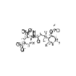 CC(=O)Oc1cc(C)cc(C)c1C(C)(C)CC(=O)Nc1ccc([N+](=O)[O-])cc1[N+](=O)[O-]